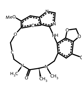 COc1cc2ncnc3c2cc1OCCCN(C)C(=O)[C@H](C)N(C)Cc1cc(Cl)c2c(c1N3)OCO2